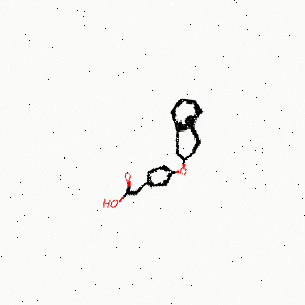 O=C(O)Cc1ccc(OC2Cc3ccccc3C2)cc1